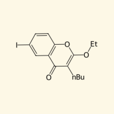 CCCCc1c(OCC)oc2ccc(I)cc2c1=O